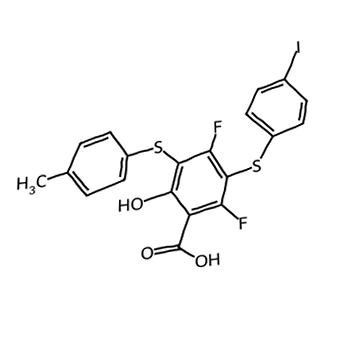 Cc1ccc(Sc2c(O)c(C(=O)O)c(F)c(Sc3ccc(I)cc3)c2F)cc1